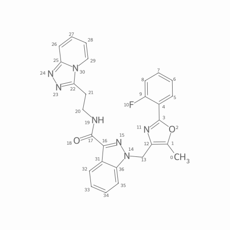 Cc1oc(-c2ccccc2F)nc1Cn1nc(C(=O)NCCc2nnc3ccccn23)c2ccccc21